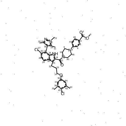 COC(=O)c1ccc(N2CCN(C(=O)c3[nH]c4c(-c5c(C)nn(C)c5C)c(Cl)ccc4c3CCCOc3cc(C)c(Cl)c(C)c3)CC2)cc1